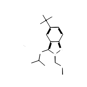 COCn1nc2ccc(C(F)(F)F)cc2c1OC(C)C.[Na]